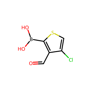 O=Cc1c(Cl)csc1B(O)O